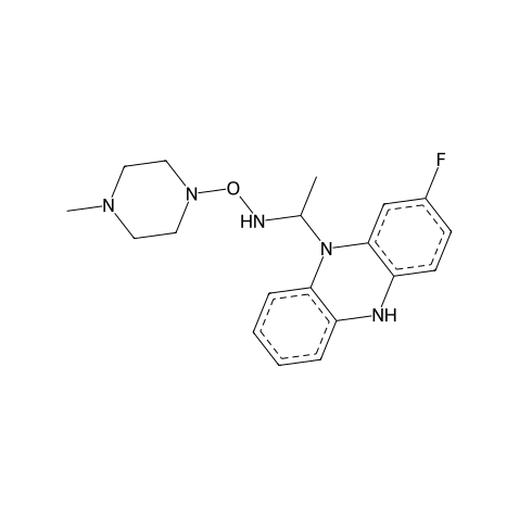 CC(NON1CCN(C)CC1)N1c2ccccc2Nc2ccc(F)cc21